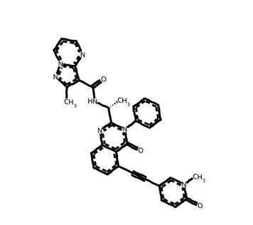 Cc1nn2cccnc2c1C(=O)N[C@H](C)c1nc2cccc(C#Cc3ccc(=O)n(C)c3)c2c(=O)n1-c1ccccc1